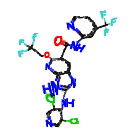 O=C(Nc1cc(C(F)(F)F)ccn1)c1cc2nc(Nc3c(Cl)cncc3Cl)[nH]c2nc1OCC(F)(F)F